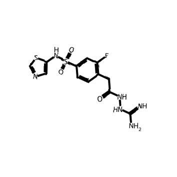 N=C(N)NNC(=O)Cc1ccc(S(=O)(=O)Nc2cncs2)cc1F